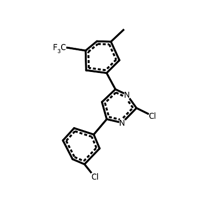 Cc1cc(-c2cc(-c3cccc(Cl)c3)nc(Cl)n2)cc(C(F)(F)F)c1